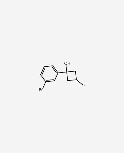 [CH2]C1CC(O)(c2cccc(Br)c2)C1